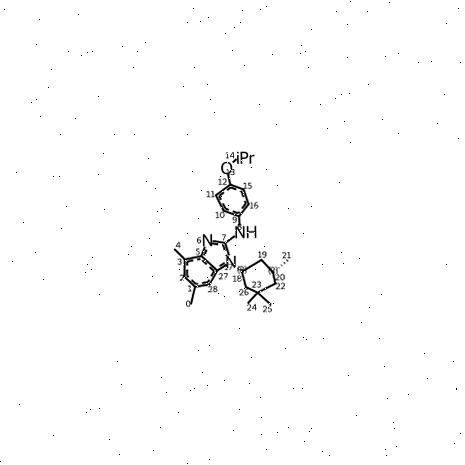 Cc1cc(C)c2nc(Nc3ccc(OC(C)C)cc3)n([C@@H]3C[C@H](C)CC(C)(C)C3)c2c1